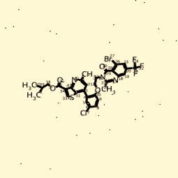 Cc1cc(-c2cc(Cl)ccc2OCCn2c(C)nc3cc(C(F)(F)F)cc(Br)c3c2=O)c2scc(C(=O)OCC(C)C)c2n1